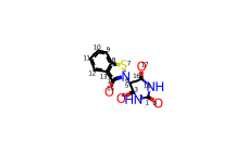 O=C1NC(=O)C(n2sc3ccccc3c2=O)C(=O)N1